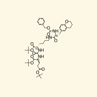 CC(C)(C)OC(=O)CC[C@H](NC(=O)N[C@@H](CCCCNC(=O)[C@@H](Cc1ccc2c(c1)CCCO2)NC(=O)OCc1ccccc1)C(=O)OC(C)(C)C)C(=O)OC(C)(C)C